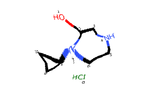 Cl.OC1CNCCN1C1CC1